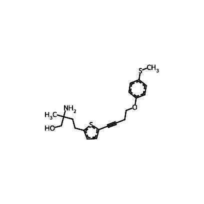 CSc1ccc(OCCC#Cc2ccc(CCC(C)(N)CO)s2)cc1